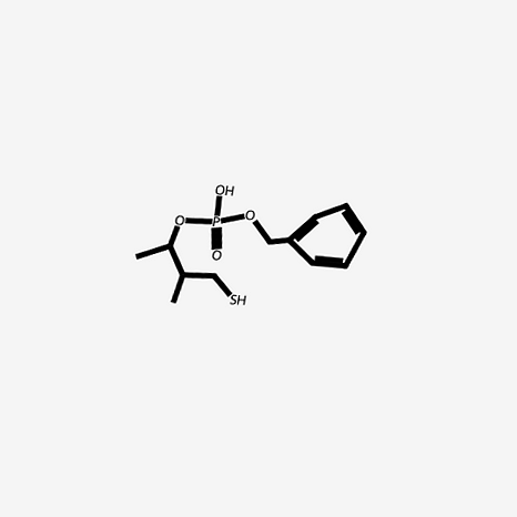 CC(CS)C(C)OP(=O)(O)OCc1ccccc1